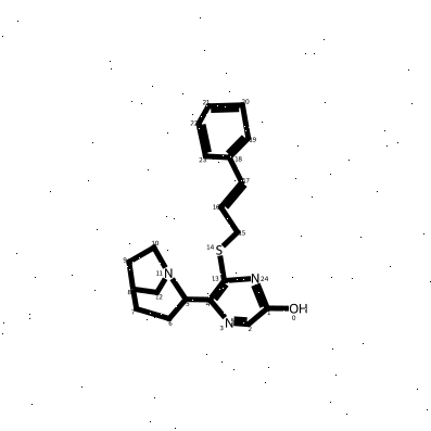 Oc1cnc(C2CCC3CCN2C3)c(SCC=Cc2ccccc2)n1